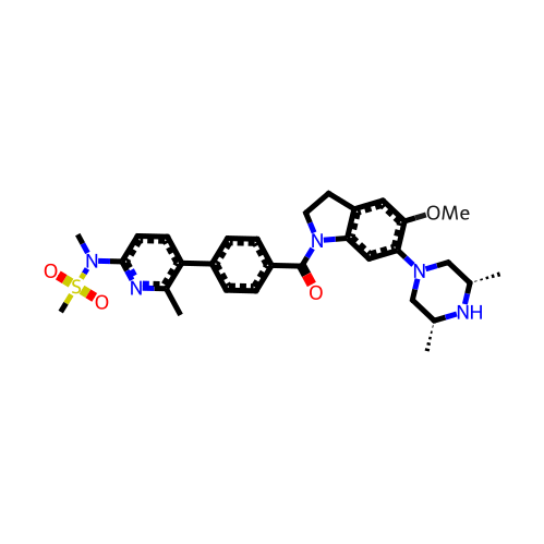 COc1cc2c(cc1N1C[C@@H](C)N[C@@H](C)C1)N(C(=O)c1ccc(-c3ccc(N(C)S(C)(=O)=O)nc3C)cc1)CC2